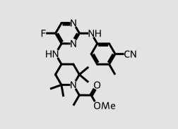 COC(=O)C(C)N1C(C)(C)CC(Nc2nc(Nc3ccc(C)c(C#N)c3)ncc2F)CC1(C)C